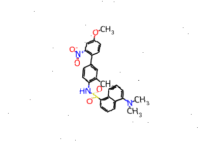 COc1ccc(-c2ccc(NS(=O)(=O)c3cccc4c(N(C)C)cccc34)c(C)c2)c([N+](=O)[O-])c1